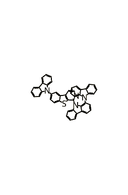 c1ccc2c(c1)c1ccccc1n2-c1ccc2sc3c(-n4c5ccccc5c5cccc(-n6c7ccccc7c7ccccc76)c54)nccc3c2c1